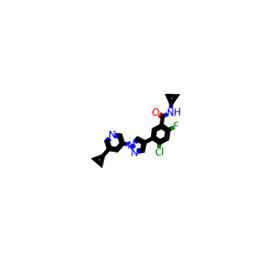 O=C(NC1CC1)c1cc(-c2cnn(-c3cncc(C4CC4)c3)c2)c(Cl)cc1F